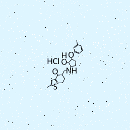 Cc1cccc(OC2CCC(NCC3CCc4sc(C)cc4C3=O)C2O)c1.Cl